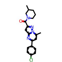 Cc1cc(-c2ccc(Cl)cc2)nc2cc(C(=O)N3CCCC(C)C3)nn12